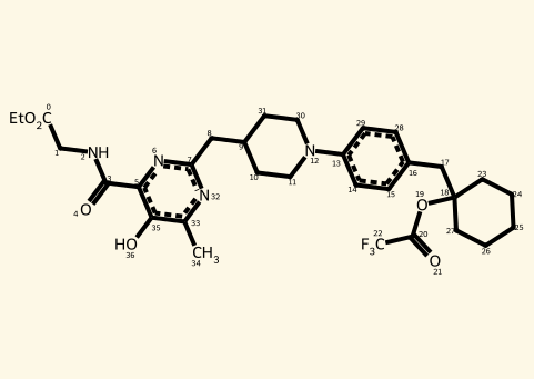 CCOC(=O)CNC(=O)c1nc(CC2CCN(c3ccc(CC4(OC(=O)C(F)(F)F)CCCCC4)cc3)CC2)nc(C)c1O